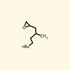 CCCCCCC(C)CC1CO1